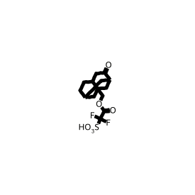 O=C1CC2CCC3CC1CC2(COC(=O)C(F)(F)S(=O)(=O)O)C3